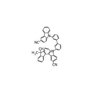 CC1(C)c2ccccc2-c2c1ccc1c2c2cc(C#N)ccc2n1-c1cccc(-c2cccc(-n3c4ccccc4c4cc(C#N)ccc43)c2)c1